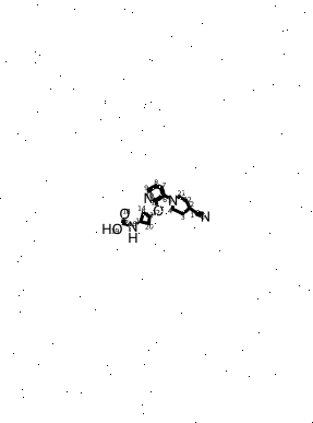 N#CC1CCN(c2cccnc2O[C@H]2C[C@H](NC(=O)O)C2)CC1